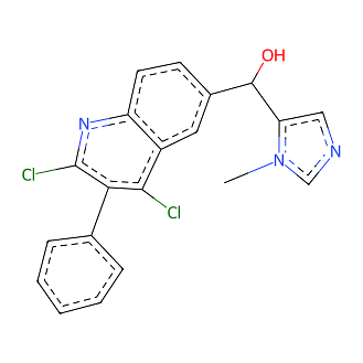 Cn1cncc1C(O)c1ccc2nc(Cl)c(-c3ccccc3)c(Cl)c2c1